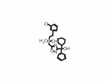 C[N+](C)(CCc1cccc(Cl)c1)Cc1nc(C(O)(c2ccccc2)C2CCCCC2)no1